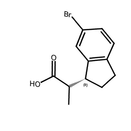 CC(C(=O)O)[C@H]1CCc2ccc(Br)cc21